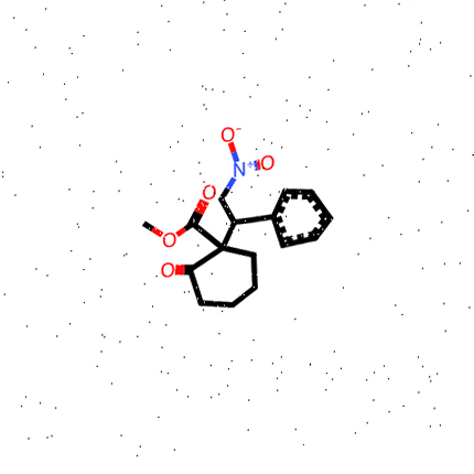 COC(=O)C1(C(C[N+](=O)[O-])c2ccccc2)CCCCC1=O